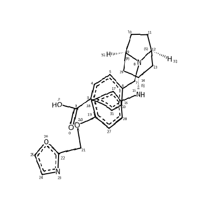 O=C(O)c1ccc(CN2[C@@H]3CC[C@H]2C[C@H](Nc2ccc(OCc4ncco4)cc2)C3)cc1